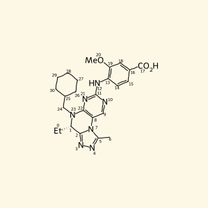 CC[C@H]1c2nnc(C)n2-c2cnc(Nc3ccc(C(=O)O)cc3OC)nc2N1CC1CCCCC1